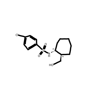 O=S(=O)(N[C@@H]1CCCCC[C@H]1CO)c1ccc(Cl)cc1